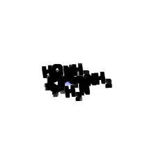 NC(N)=C/C=C(\N)c1ccccc1O